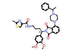 COc1ccc([C@@H](CCCNC(=O)c2csc(C)n2)N2C(=O)c3cccc(N4CCN(C(C)c5ccccc5)CC4)c3C2=O)cc1OC